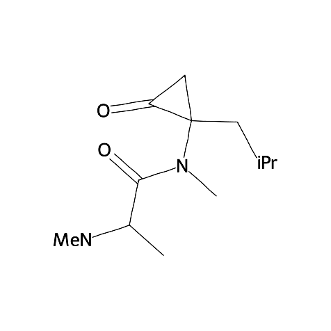 CNC(C)C(=O)N(C)C1(CC(C)C)CC1=O